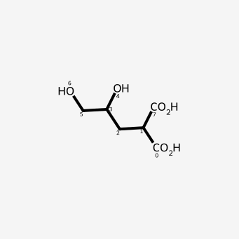 O=C(O)C(CC(O)CO)C(=O)O